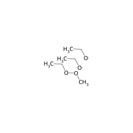 CCOOC.CC[O].CC[O]